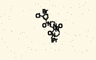 CC(C)CN1CCCn2c(c3n(c2=O)CCN(C(=O)c2ccc(Br)c(Cl)c2)C3)C1=O